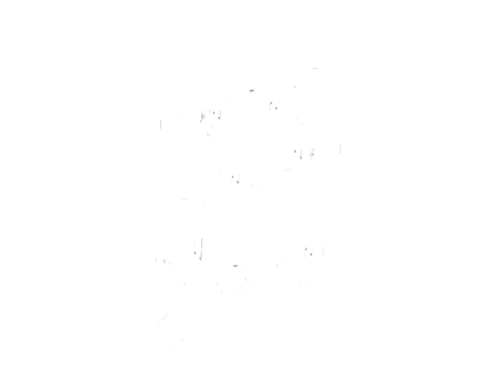 CCC1=C(C)c2cc3[nH]c(cc4nc(cc5[nH]c(cc1n2)c(C)c5CCCCNC(=O)OCc1ccccc1)C(CCCCNC(=O)OCc1ccccc1)=C4C)c(C)c3CC